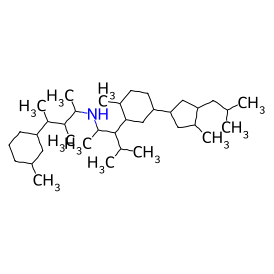 CC(C)CC1CC(C2CCC(C)C(C(C(C)C)C(C)NC(C)C(C)C(C)C3CCCC(C)C3)C2)CC1C